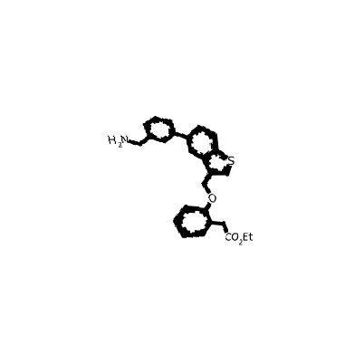 CCOC(=O)Cc1ccccc1OCc1csc2ccc(-c3cccc(CN)c3)cc12